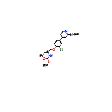 CC(=O)Nc1cc(-c2ccc(OC[C@H](CC(C)C)NC(=O)OC(C)(C)C)c(Cl)c2)ccn1